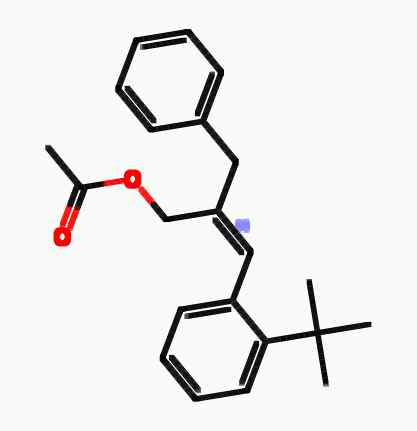 CC(=O)OC/C(=C\c1ccccc1C(C)(C)C)Cc1ccccc1